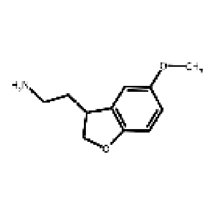 COc1ccc2c(c1)C(CCN)CO2